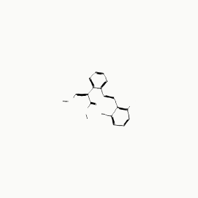 COC=C(C(=O)OC)c1ccccc1C=Cc1c(Cl)cccc1Cl